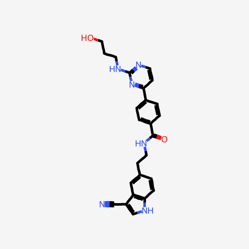 N#Cc1c[nH]c2ccc(CCNC(=O)c3ccc(-c4ccnc(NCCCO)n4)cc3)cc12